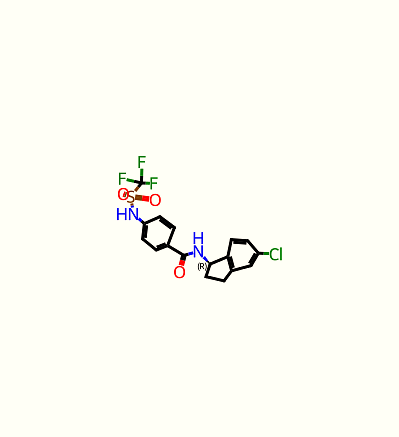 O=C(N[C@@H]1CCc2cc(Cl)ccc21)c1ccc(NS(=O)(=O)C(F)(F)F)cc1